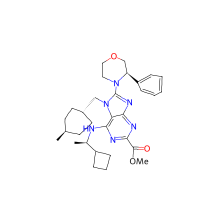 COC(=O)c1nc(N[C@H](C)C2CCC2)c2c(n1)nc(N1CCOC[C@H]1c1ccccc1)n2C[C@H]1CC[C@H](C)CC1